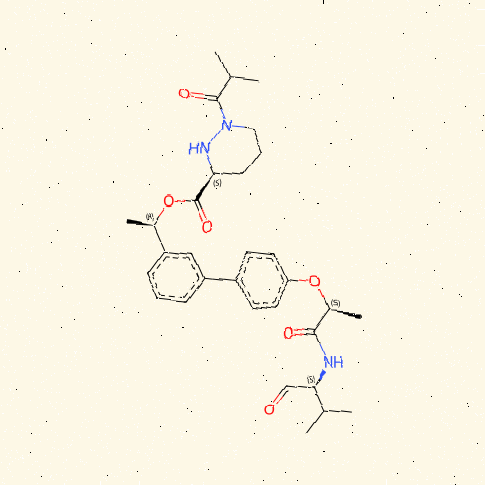 CC(C)C(=O)N1CCC[C@@H](C(=O)O[C@H](C)c2cccc(-c3ccc(O[C@@H](C)C(=O)N[C@H](C=O)C(C)C)cc3)c2)N1